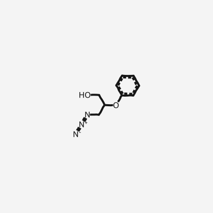 [N-]=[N+]=NCC(CO)Oc1ccccc1